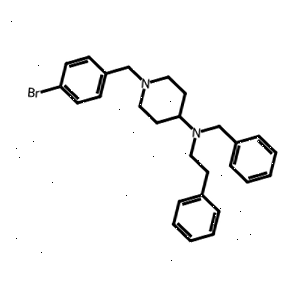 Brc1ccc(CN2CCC(N(CCc3ccccc3)Cc3ccccc3)CC2)cc1